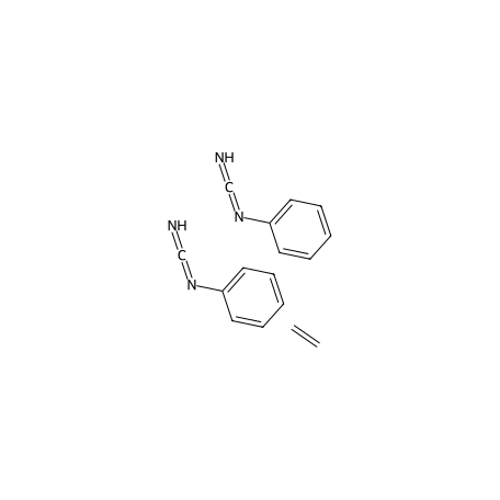 C=C.N=C=Nc1ccccc1.N=C=Nc1ccccc1